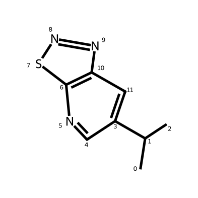 CC(C)c1cnc2snnc2c1